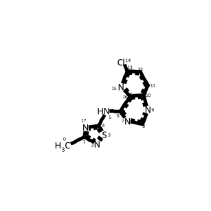 Cc1nsc(Nc2ncnc3ccc(Cl)nc23)n1